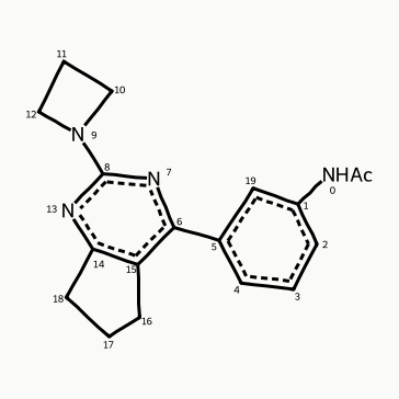 CC(=O)Nc1cccc(-c2nc(N3CCC3)nc3c2CCC3)c1